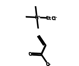 C=CC([O])=O.CC[N+](C)(C)C.[Cl-]